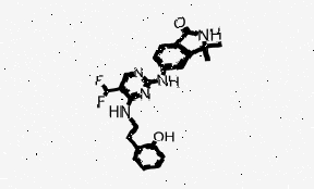 CC1(C)NC(=O)c2ccc(Nc3ncc(C(F)F)c(NCCc4ccccc4O)n3)cc21